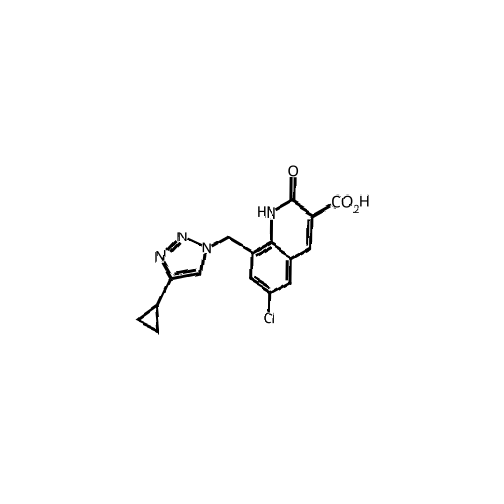 O=C(O)c1cc2cc(Cl)cc(Cn3cc(C4CC4)nn3)c2[nH]c1=O